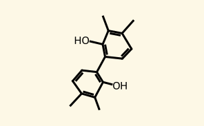 Cc1ccc(-c2ccc(C)c(C)c2O)c(O)c1C